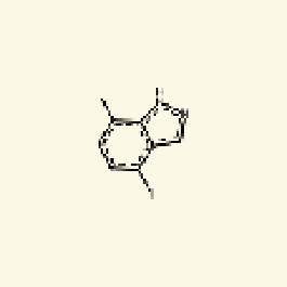 Ic1ccc(I)c2[nH]ncc12